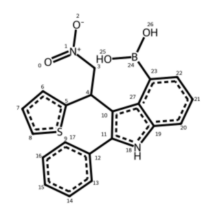 O=[N+]([O-])CC(c1cccs1)c1c(-c2ccccc2)[nH]c2cccc(B(O)O)c12